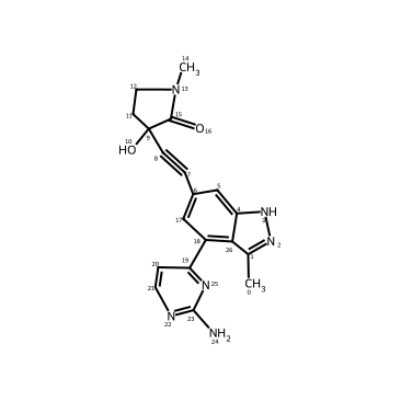 Cc1n[nH]c2cc(C#CC3(O)CCN(C)C3=O)cc(-c3ccnc(N)n3)c12